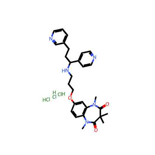 CN1C(=O)C(C)(C)C(=O)N(C)c2cc(OCCCNC(CCc3cccnc3)c3ccncc3)ccc21.Cl.Cl.Cl